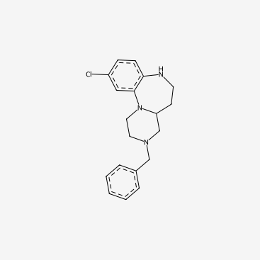 Clc1ccc2c(c1)N1CCN(Cc3ccccc3)CC1CCN2